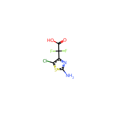 Nc1nc(C(F)(F)C(=O)O)c(Cl)s1